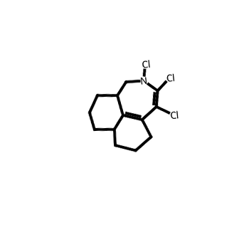 ClC1=C(Cl)N(Cl)CC2CCCC3CCCC1=C32